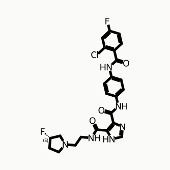 O=C(Nc1ccc(NC(=O)c2nc[nH]c2C(=O)NCCN2CC[C@H](F)C2)cc1)c1ccc(F)cc1Cl